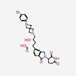 O=C1CCC(N2Cc3cc(CC[C@H](O)CN4CC5(C4)CN(c4ccc(Br)cc4)C5)ccc3C2=O)C(=O)N1.O=CO